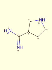 N=C(N)C1CCNC1